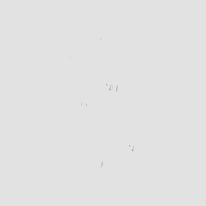 CCc1cccc(NC(=O)c2cc(F)nc(F)c2)c1